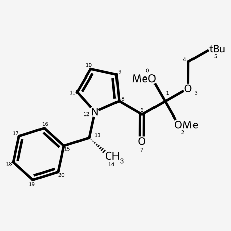 COC(OC)(OCC(C)(C)C)C(=O)c1cccn1[C@H](C)c1ccccc1